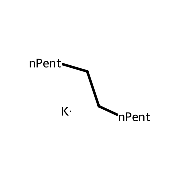 CCCCCCCCCCCC.[K]